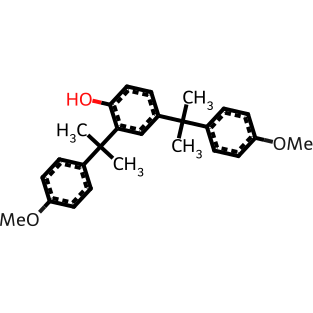 COc1ccc(C(C)(C)c2ccc(O)c(C(C)(C)c3ccc(OC)cc3)c2)cc1